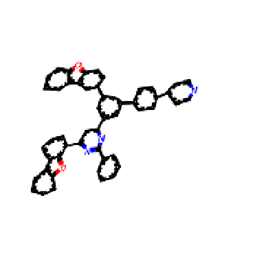 c1ccc(-c2nc(-c3cc(-c4ccc(-c5ccncc5)cc4)cc(-c4ccc5oc6ccccc6c5c4)c3)cc(-c3cccc4c3oc3ccccc34)n2)cc1